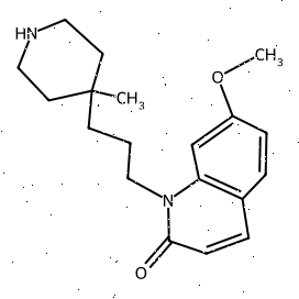 COc1ccc2ccc(=O)n(CCCC3(C)CCNCC3)c2c1